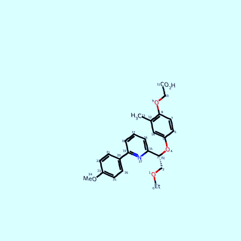 CCOC[C@@H](Oc1ccc(OCC(=O)O)c(C)c1)c1cccc(-c2ccc(OC)cc2)n1